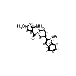 CC(C)n1c(C2CCCN(C(=O)c3cn(C)nc3N)C2)cc2ccccc21